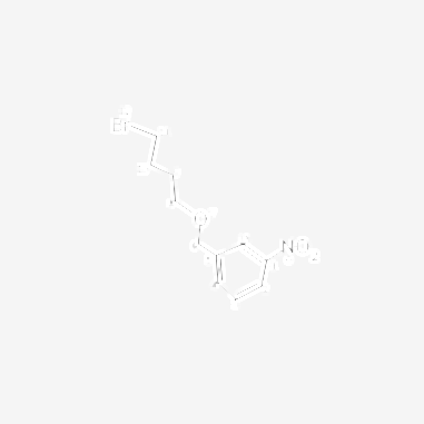 O=[N+]([O-])c1cccc(COCCCCBr)c1